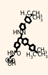 CC(C)(C)c1ccc(-c2ccc(C(Cc3ccc(C(=O)NCCS(=O)(=O)O)cc3)c3nc4cc([C@H]5CC[C@H](C(C)(C)C)CC5)ccc4[nH]3)cc2)cc1